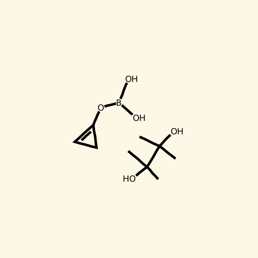 CC(C)(O)C(C)(C)O.OB(O)OC1=CC1